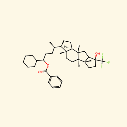 C[C@H](CCC(OC(=O)c1ccccc1)C1CCCCC1)[C@H]1CC[C@H]2[C@@H]3CC4[C@](C)(CC[C@@]4(O)C(F)(F)F)[C@H]3CC[C@]12C